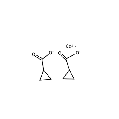 O=C([O-])C1CC1.O=C([O-])C1CC1.[Co+2]